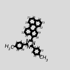 Cc1ccc(-c2nc(-c3ccc(C)cc3)nc(-c3ccc4c5cccc6cccc(c7cccc3c74)c65)n2)cc1